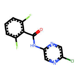 O=C(Nc1cnc(Cl)cn1)c1c(F)cccc1F